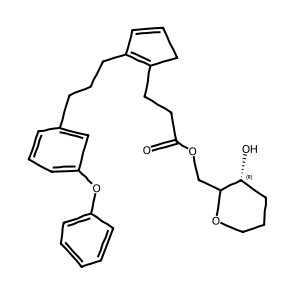 O=C(CCC1=C(CCCc2cccc(Oc3ccccc3)c2)C=CC1)OCC1OCCC[C@H]1O